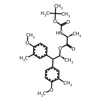 COc1ccc(C(c2ccc(OC)c(C)c2)[C@H](C)OC(=O)[C@H](C)NC(=O)OC(C)(C)C)cc1C